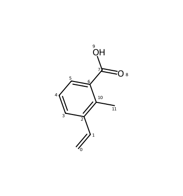 C=Cc1cccc(C(=O)O)c1C